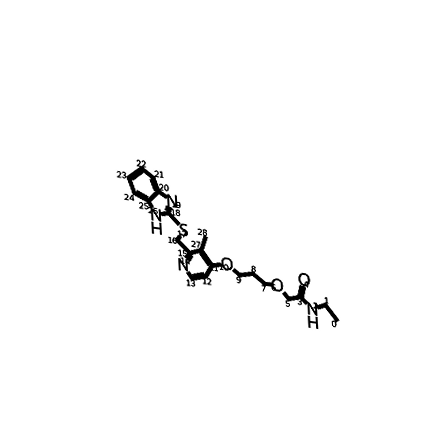 CCNC(=O)COCCCOc1ccnc(CSc2nc3ccccc3[nH]2)c1C